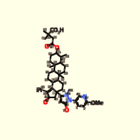 COc1ccc(-n2c(=O)cc(C34CCC5C(CCC6C5(C)CCC5C(C)C(OC(=O)CC(C)(C)C(=O)O)CCC56C)C3=C(C(C)C)C(=O)C4)n2C)cn1